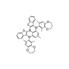 Cc1cc2c3c(c1)N(c1c(C)cc4c(c1C)OCCCO4)c1c(sc4ccccc14)B3c1sc3ccccc3c1N2c1c(C)cc2c(c1C)OCCCO2